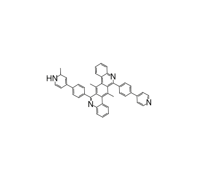 Cc1c2c(-c3ccc(-c4ccncc4)cc3)nc3ccccc3c2c(C)c2c(-c3ccc(C4=CC(C)NC=C4)cc3)nc3ccccc3c12